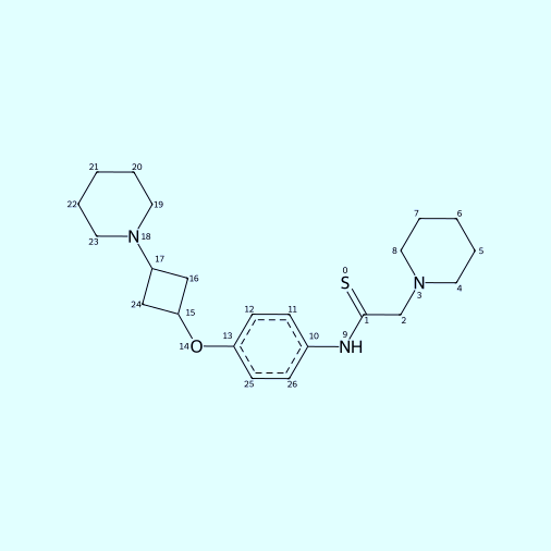 S=C(CN1CCCCC1)Nc1ccc(OC2CC(N3CCCCC3)C2)cc1